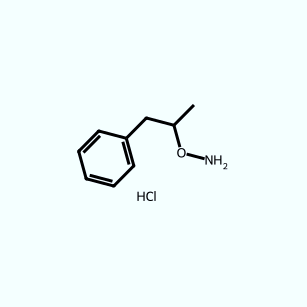 CC(Cc1ccccc1)ON.Cl